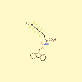 O=C(NC(CCC(F)(F)C(F)(F)C(F)(F)C(F)(F)C(F)(F)C(F)(F)F)C(=O)O)OCC1c2ccccc2-c2ccccc21